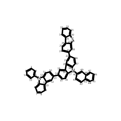 c1ccc(-n2c3ccccc3c3cc(-c4ccc5c(c4)c4cc(-c6ccc7c(c6)sc6ccccc67)ccc4n5-c4ccc5ccccc5c4)ccc32)cc1